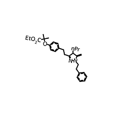 C=C1C(CCC)C(CCc2ccc(OC(C)(C)C(=O)OCC)cc2)=NN1CCc1ccccc1